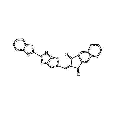 O=C1C(=Cc2cc3sc(-c4cc5ccccc5s4)nc3s2)C(=O)c2cc3ccccc3cc21